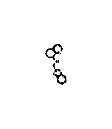 c1cnc2c(c1)CCCC2NCc1nc2ccccc2[nH]1